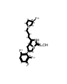 Cl.Fc1ccc(F)c([C@H]2Cc3c(CCCN4CC[C@@H](F)C4)[nH]c(=S)n3C2)c1F